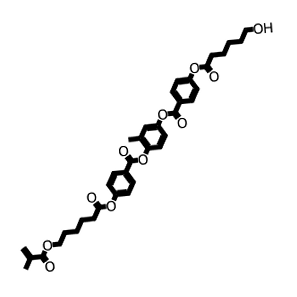 C=C(C)C(=O)OCCCCCC(=O)Oc1ccc(C(=O)Oc2ccc(OC(=O)c3ccc(OC(=O)CCCCCO)cc3)cc2C)cc1